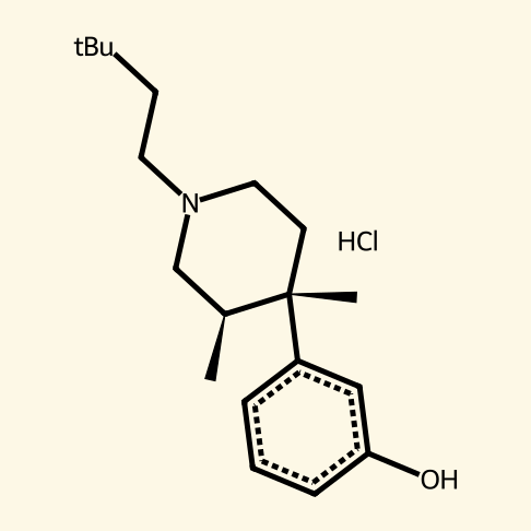 C[C@H]1CN(CCC(C)(C)C)CC[C@]1(C)c1cccc(O)c1.Cl